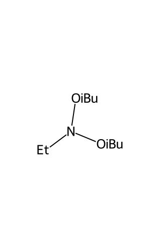 CCN(OCC(C)C)OCC(C)C